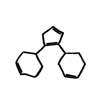 C1=CCC(C2=C(C3CC=CCC3)CC=C2)CC1